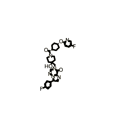 O=c1c2ncc(-c3ccc(F)cc3)n2ncn1CC1(O)CCN(C(=O)[C@H]2CC[C@@H](Oc3ccc(F)cn3)CC2)CC1